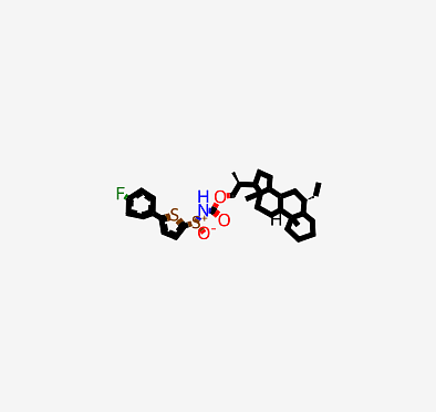 CC[C@H]1CC2C3CCC([C@H](C)COC(=O)N[S+]([O-])c4ccc(-c5ccc(F)cc5)s4)C3(C)CC[C@@H]2C2(C)CCCCC12